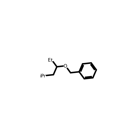 CCC(CC(C)C)OCc1ccccc1